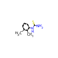 Cc1cccc(NC(N)=S)c1C